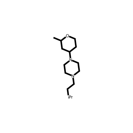 CC(C)CCN1CCN(C2CCOC(C)C2)CC1